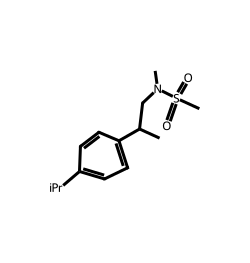 CC(C)c1ccc(C(C)CN(C)S(C)(=O)=O)cc1